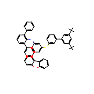 CC(C)(C)c1cc(-c2cccc(Sc3cc(Nc4c(-c5ccccc5)cccc4-c4ccccc4)cc(-c4cccc5oc6ccccc6c45)c3)c2)cc(C(C)(C)C)c1